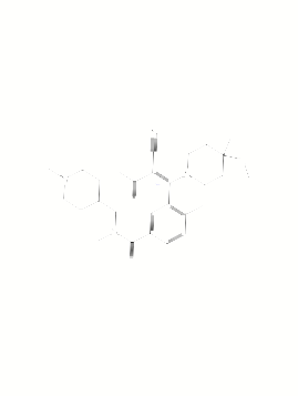 COC1(C)CCN(/C(=C(\C#N)C(C)=O)c2cc(C(=O)N(C)CC3CCN(C)CC3)ccc2C)CC1